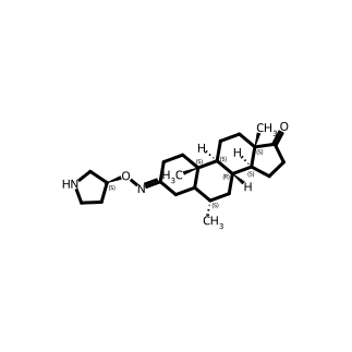 C[C@H]1C[C@@H]2[C@H](CC[C@]3(C)C(=O)CC[C@@H]23)[C@@]2(C)CCC(=NO[C@H]3CCNC3)CC12